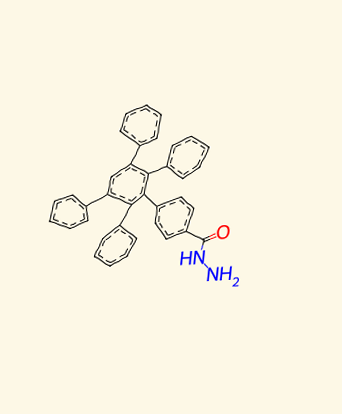 NNC(=O)c1ccc(-c2c(-c3ccccc3)c(-c3ccccc3)cc(-c3ccccc3)c2-c2ccccc2)cc1